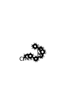 Clc1ccc2ccc(-c3cccc(-c4ccc5c(n4)C4N=C(c6ccccc6)C=CC4C=C5)c3)cc2n1